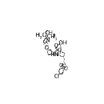 CC(C)(C)c1csc(COc2cccc(C(=S)Nc3cc(CCCS(=O)(=O)c4ccc(Cl)cc4)ccc3OCC(=O)O)c2)n1